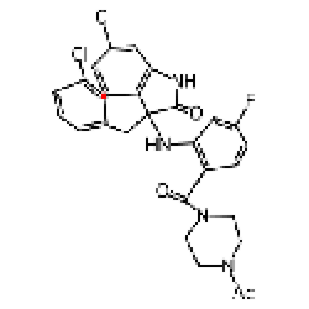 CC(=O)N1CCN(C(=O)c2ccc(F)cc2NC2(Cc3cccc(Cl)c3)C(=O)Nc3cc(Cl)ccc32)CC1